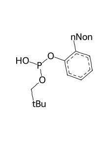 CCCCCCCCCc1ccccc1OP(O)OCC(C)(C)C